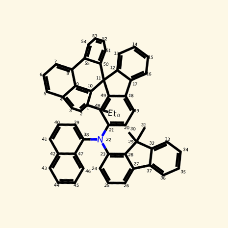 CCc1ccc2cccc3c2c1C1(c2ccccc2-c2ccc(N(c4cccc5c4C(C)(C)c4ccccc4-5)c4cccc5ccccc45)cc21)c1ccccc1-3